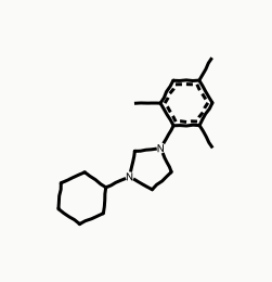 Cc1cc(C)c(N2CCN(C3CCCCC3)C2)c(C)c1